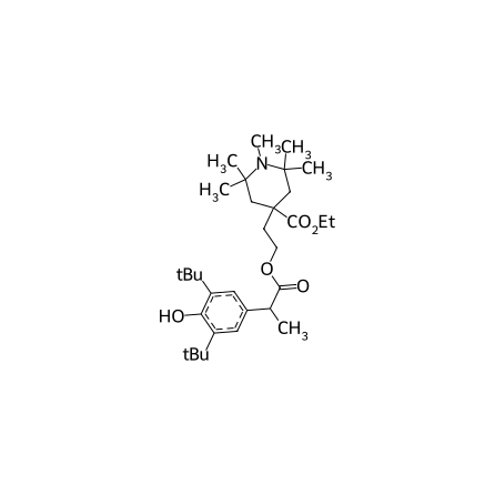 CCOC(=O)C1(CCOC(=O)C(C)c2cc(C(C)(C)C)c(O)c(C(C)(C)C)c2)CC(C)(C)N(C)C(C)(C)C1